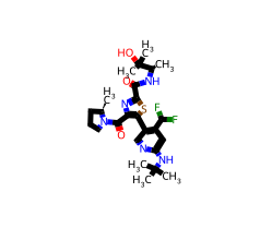 C[C@H]1CCCN1C(=O)c1nc(C(=O)N[C@H](C)C(C)(C)O)sc1-c1cnc(NC(C)(C)C)cc1C(F)F